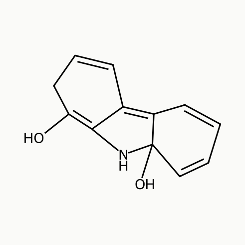 OC1=C2NC3(O)C=CC=CC3=C2C=CC1